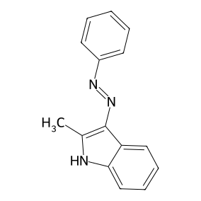 Cc1[nH]c2ccccc2c1N=Nc1ccccc1